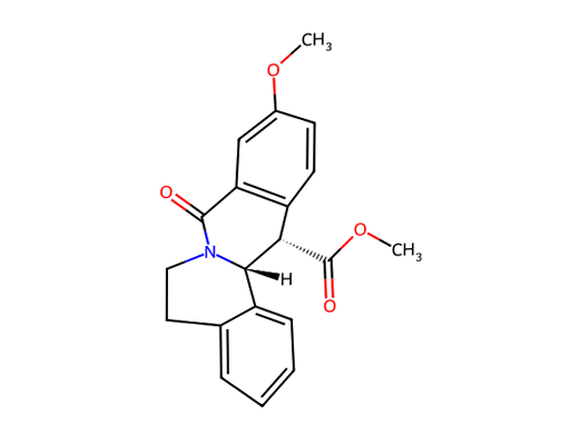 COC(=O)[C@H]1c2ccc(OC)cc2C(=O)N2CCc3ccccc3[C@@H]12